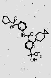 CC(O)(c1ccc(C(=O)Nc2cccc(S(=O)(=O)C3CCCC3)c2)c(N2CCC3(CC2)CC3)n1)C(F)(F)F